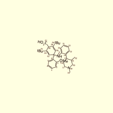 COc1ccccc1C1(Nc2ccccc2C2CCN(C)CC2C)C=C(C(C)(C)C)C(C(=O)O)C(C(C)(C)C)=C1